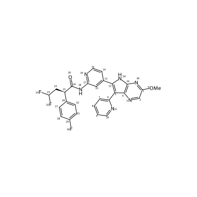 COc1cnc2c(-c3ccccn3)c(-c3ccnc(NC(=O)[C@H](CC(F)F)c4ccc(F)cc4)c3)[nH]c2n1